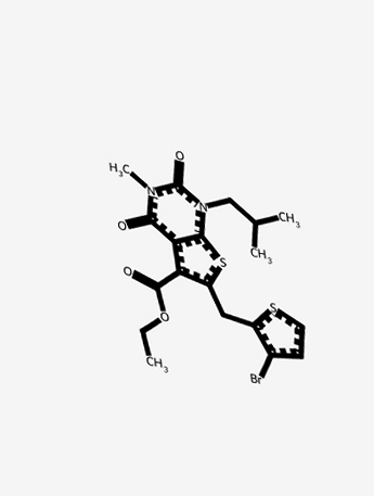 CCOC(=O)c1c(Cc2sccc2Br)sc2c1c(=O)n(C)c(=O)n2CC(C)C